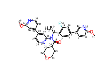 BC(c1ccc(-c2ccc(OC)nc2)cc1F)N(C(=O)C1CCOCC1)c1cc(-c2ccnc(OC)c2)ccn1